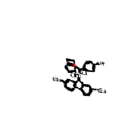 CC(C)c1ccc([C](C2CCC2)=[Hf]([Cl])([Cl])([CH]2C=CC=C2)[CH]2c3cc(C(C)(C)C)ccc3-c3ccc(C(C)(C)C)cc32)cc1